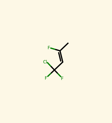 C/C(F)=C/C(F)(F)Cl